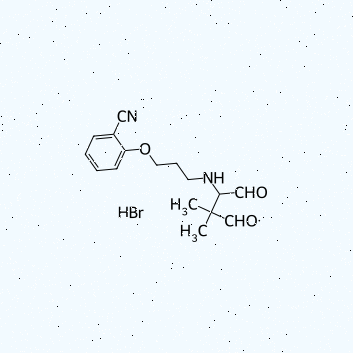 Br.CC(C)([C]=O)C(C=O)NCCCOc1ccccc1C#N